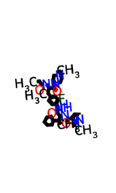 CCC(=O)NC(C(=O)N1CCN(C)CC1)C(C)c1ccc(NC(=O)C(NC(=O)c2ccnn2CC)C(C)C2CCCCC2)c(F)c1